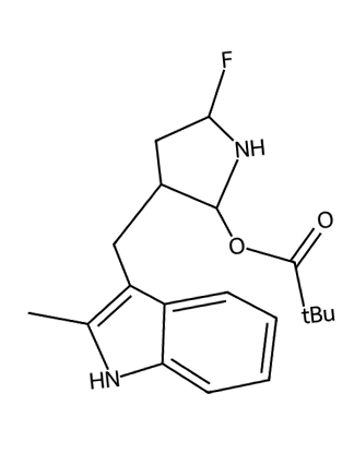 Cc1[nH]c2ccccc2c1CC1CC(F)NC1OC(=O)C(C)(C)C